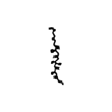 CCCOCCOCCNC(=O)CNCC(=O)C(=O)CNC(=O)CNN